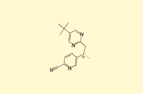 C[C@@H](Cc1ncc(C(C)(C)C)cn1)c1ccc(C#N)nc1